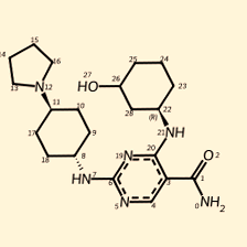 NC(=O)c1cnc(N[C@H]2CC[C@H](N3CCCC3)CC2)nc1N[C@@H]1CCCC(O)C1